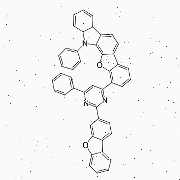 C1=CC2c3ccc4c(oc5c(-c6cc(-c7ccccc7)nc(-c7ccc8c(c7)oc7ccccc78)n6)cccc54)c3N(c3ccccc3)C2C=C1